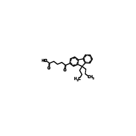 CCCC1(CCC)c2ccccc2-c2ccc(C(=O)CCCC(=O)O)cc21